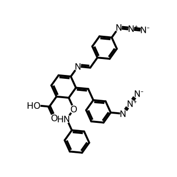 [N-]=[N+]=Nc1ccc(C=NC2=CC=C(C(=O)O)C(ONc3ccccc3)C2=Cc2cccc(N=[N+]=[N-])c2)cc1